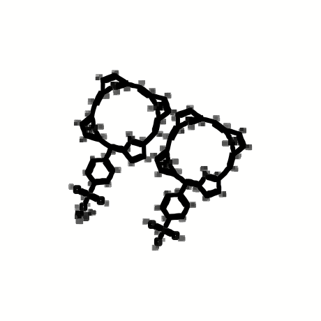 O=S(=O)([O-])c1ccc(-c2c3nc(cc4ccc(cc5nc(cc6ccc2[nH]6)C=C5)[nH]4)C=C3)cc1.O=S(=O)([O-])c1ccc(-c2c3nc(cc4ccc(cc5nc(cc6ccc2[nH]6)C=C5)[nH]4)C=C3)cc1.[Mg+2]